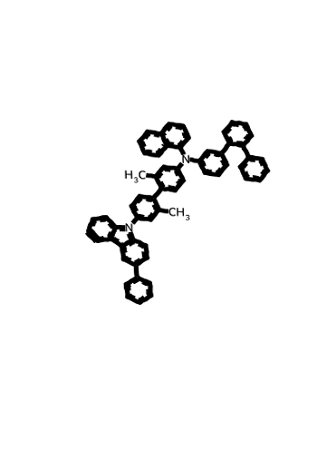 Cc1cc(N(c2cccc(-c3ccccc3-c3ccccc3)c2)c2cccc3ccccc23)ccc1-c1ccc(-n2c3ccc#cc3c3cc(-c4ccccc4)ccc32)cc1C